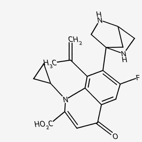 C=C(C)c1c(C23CNC(CN2)C3)c(F)cc2c(=O)cc(C(=O)O)n(C3CC3)c12